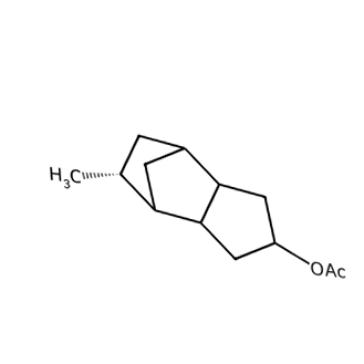 CC(=O)OC1CC2C3CC(C2C1)[C@H](C)C3